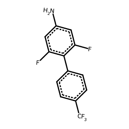 Nc1cc(F)c(-c2ccc(C(F)(F)F)cc2)c(F)c1